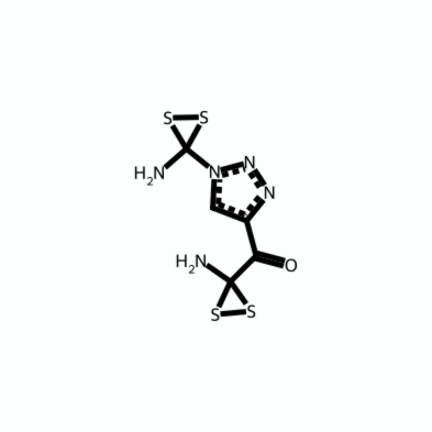 NC1(C(=O)c2cn(C3(N)SS3)nn2)SS1